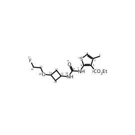 CCOC(=O)c1c(C)csc1NC(=O)NC1CC(OCCF)C1